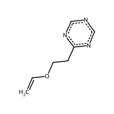 C=COCCc1ncncn1